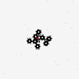 c1ccc(-c2cc(-c3ccccc3)c3nc(-c4cc(-n5c6ccccc6c6ccccc65)ccc4-n4c5ccccc5c5ccccc54)oc3c2)cc1